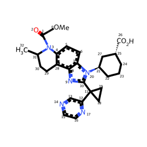 COC(=O)N1c2ccc3c(nc(C4(c5cnccn5)CC4)n3[C@@H]3CCC[C@@H](C(=O)O)C3)c2CCC1C